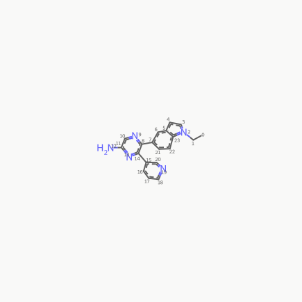 CCn1ccc2cc(-c3ncc(N)nc3-c3cccnc3)ccc21